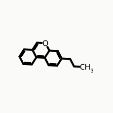 CCCC1=CC2OC=c3ccccc3=C2C=C1